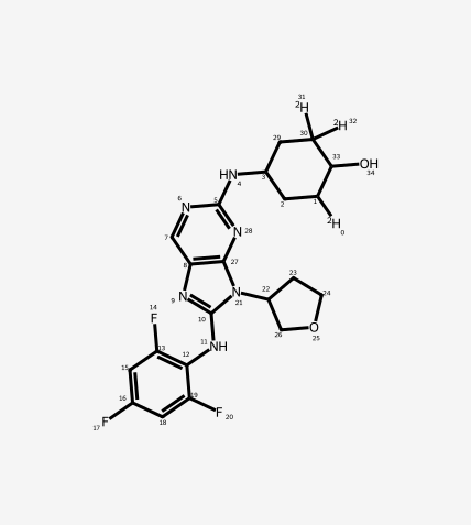 [2H]C1CC(Nc2ncc3nc(Nc4c(F)cc(F)cc4F)n(C4CCOC4)c3n2)CC([2H])([2H])C1O